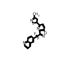 CC1=NSC(c2ccc3onc(C(F)(F)c4ccc5ncccc5c4)c3n2)C1